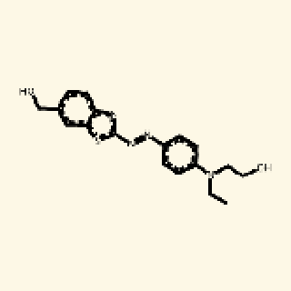 CCN(CCO)c1ccc(/N=N/c2nc3ccc(CO)cc3s2)cc1